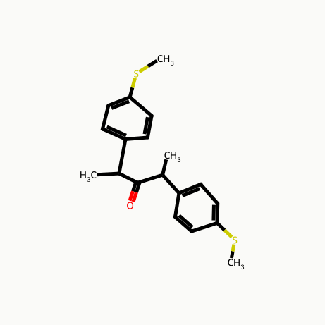 CSc1ccc(C(C)C(=O)C(C)c2ccc(SC)cc2)cc1